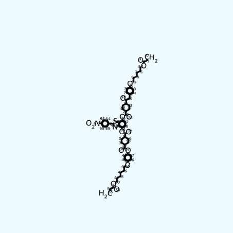 C=CC(=O)OCCCCCCOc1ccc(CC(=O)C2CCC(C(=O)Oc3ccc(OC(=O)C4CCC(C(=O)Oc5ccc(OCCCCCCOC(=O)C=C)cc5)CC4)c4nc(-c5ccc([N+](=O)[O-])cc5)sc34)CC2)cc1